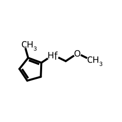 CO[CH2][Hf][C]1=C(C)C=CC1